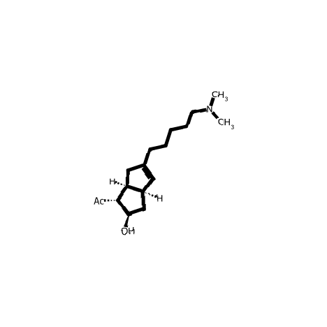 CC(=O)[C@@H]1[C@H]2CC(CCCCCN(C)C)=C[C@H]2C[C@H]1O